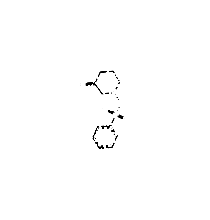 O=C1CCCN(OS(=O)(=O)c2ccccc2)C1